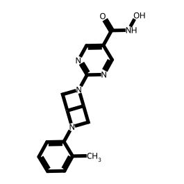 Cc1ccccc1N1CC2C1CN2c1ncc(C(=O)NO)cn1